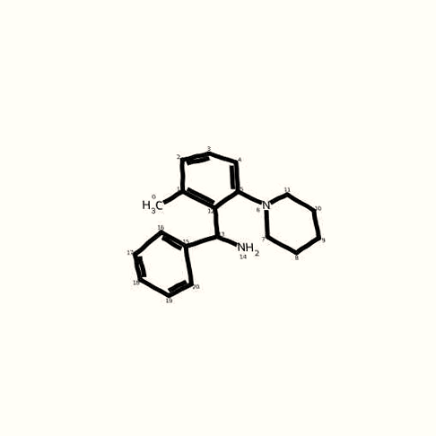 Cc1cccc(N2CCCCC2)c1C(N)c1ccccc1